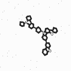 c1ccc(-n2c3ccccc3c3cc(-c4ccc(-n5c6ccc(-c7ccc8oc9ccccc9c8c7)cc6c6c7oc8ccccc8c7ccc65)cc4)ccc32)cc1